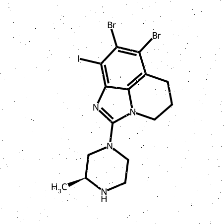 C[C@H]1CN(c2nc3c(I)c(Br)c(Br)c4c3n2CCC4)CCN1